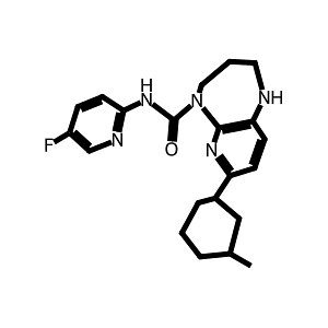 CC1CCCC(c2ccc3c(n2)N(C(=O)Nc2ccc(F)cn2)CCCN3)C1